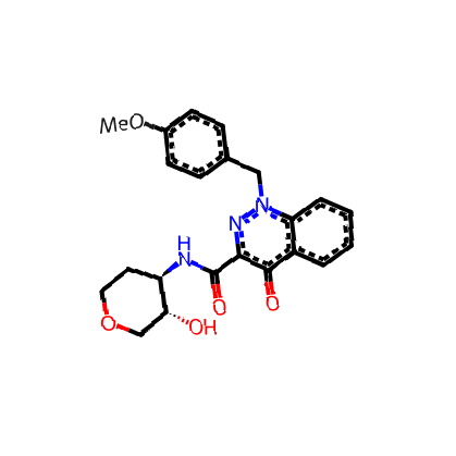 COc1ccc(Cn2nc(C(=O)N[C@@H]3CCOC[C@H]3O)c(=O)c3ccccc32)cc1